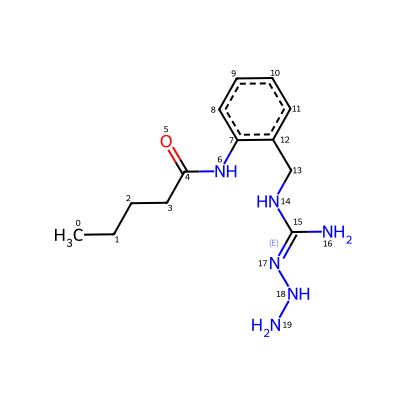 CCCCC(=O)Nc1ccccc1CN/C(N)=N/NN